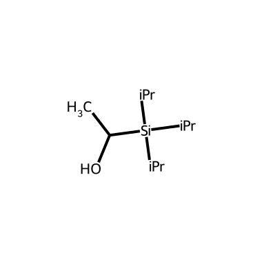 CC(C)[Si](C(C)C)(C(C)C)C(C)O